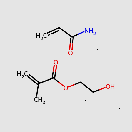 C=C(C)C(=O)OCCO.C=CC(N)=O